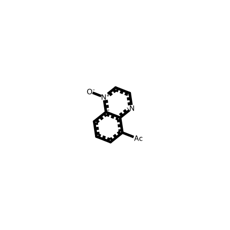 CC(=O)c1cccc2c1ncc[n+]2[O-]